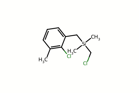 Cc1cccc(C[Si](C)(C)CCl)c1Cl